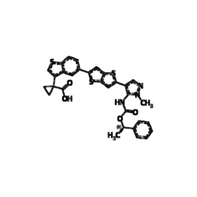 C[C@@H](OC(=O)Nc1c(-c2cc3sc(-c4ccc5scc(C6(C(=O)O)CC6)c5c4)cc3s2)cnn1C)c1ccccc1